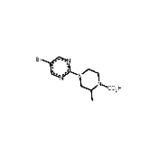 CC1CN(c2ncc(Br)cn2)CCN1C(=O)O